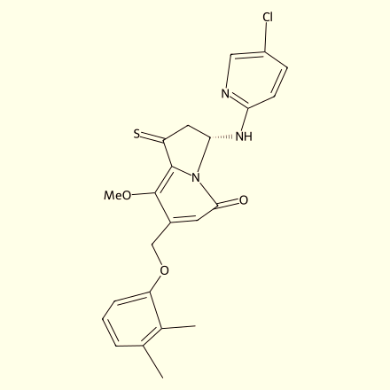 COc1c(COc2cccc(C)c2C)cc(=O)n2c1C(=S)C[C@@H]2Nc1ccc(Cl)cn1